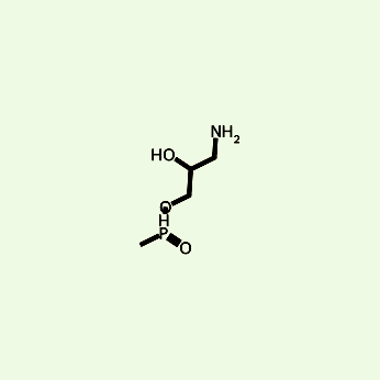 C[PH](=O)OCC(O)CN